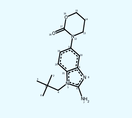 CC(C)(C)Cn1c(N)nc2cc(N3CCCOC3=O)ccc21